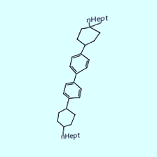 CCCCCCCC1CCC(c2ccc(-c3ccc(C4CCC(C)(CCCCCCC)CC4)cc3)cc2)CC1